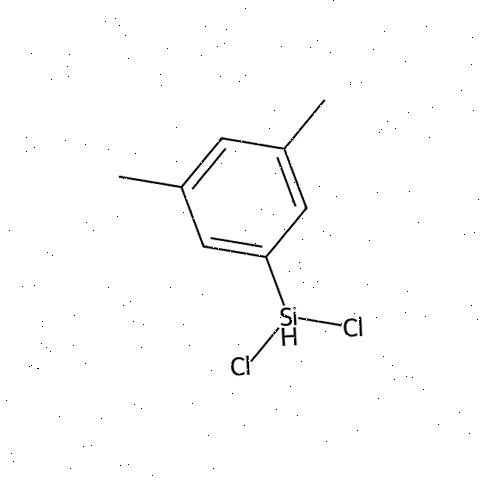 Cc1cc(C)cc([SiH](Cl)Cl)c1